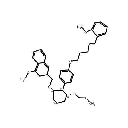 COCO[C@@H]1CNC[C@H](OCC2C=c3ccccc3=C(OC)C2)[C@H]1c1ccc(OCCCOCc2ccccc2OC)cc1